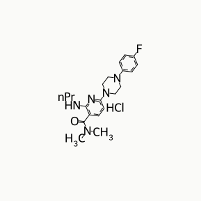 CCCNc1nc(N2CCN(c3ccc(F)cc3)CC2)ccc1C(=O)N(C)C.Cl